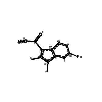 COC(=O)c1c(C)n(C)c2cc(F)ccc12